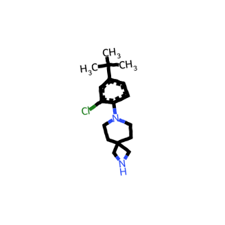 CC(C)(C)c1ccc(N2CCC3(CC2)CNC3)c(Cl)c1